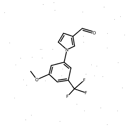 COc1cc(-n2ccc(C=O)c2)cc(C(F)(F)F)c1